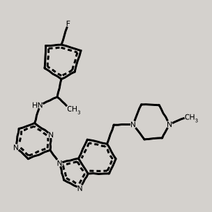 CC(Nc1cncc(-n2cnc3ccc(CN4CCN(C)CC4)cc32)n1)c1ccc(F)cc1